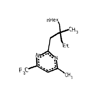 CCCCCCC(C)(CC)Cc1nc(C)cc(C(F)(F)F)n1